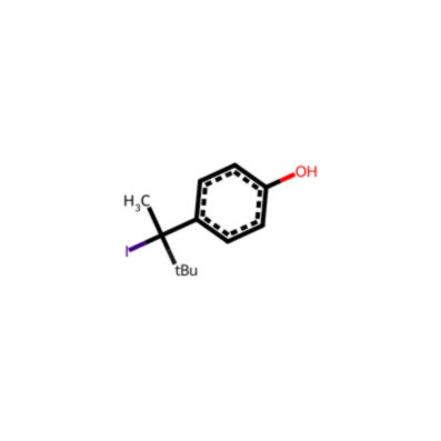 CC(C)(C)C(C)(I)c1ccc(O)cc1